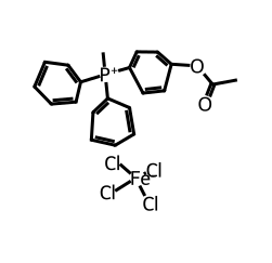 CC(=O)Oc1ccc([P+](C)(c2ccccc2)c2ccccc2)cc1.[Cl][Fe-]([Cl])([Cl])[Cl]